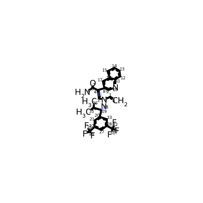 C=CN(/C=C(/C(N)=O)c1cnc2ccccc2c1)/N=C(/c1cc(C(F)(F)F)cc(C(F)(F)F)c1)C(C)C